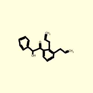 C=CCc1cccc(C(=O)C(O)c2ccccc2)c1CC=C